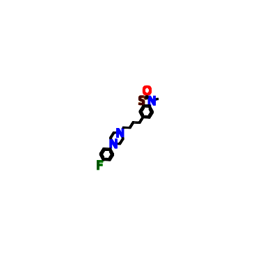 Cn1c(=O)sc2cc(CCCCN3CCN(c4ccc(F)cc4)CC3)ccc21